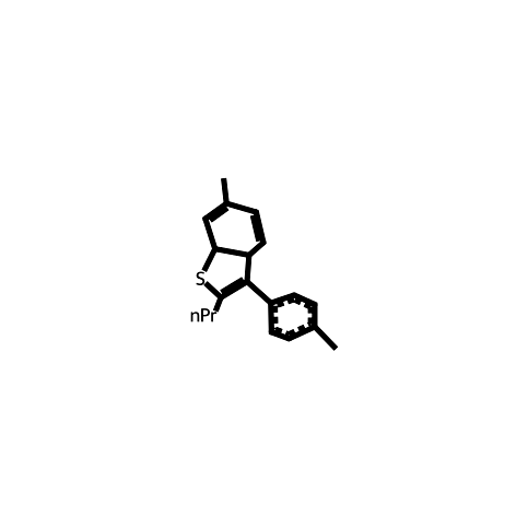 CCCC1=C(c2ccc(C)cc2)C2C=CC(C)=CC2S1